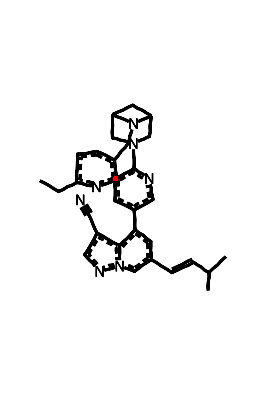 CCc1ccc(CN2C3CC2CN(c2ccc(-c4cc(/C=C/C(C)C)cn5ncc(C#N)c45)cn2)C3)cn1